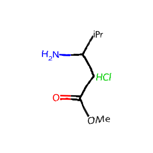 COC(=O)CC(N)C(C)C.Cl